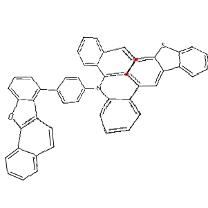 c1ccc(N(c2ccc(-c3cccc4oc5c6ccccc6ccc5c34)cc2)c2cccc3ccccc23)c(-c2ccc3sc4ccccc4c3c2)c1